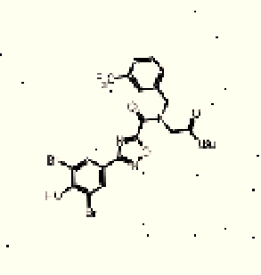 CC(C)(C)C(=O)CN(Cc1cccc(C(F)(F)F)c1)C(=O)c1nc(-c2cc(Br)c(O)c(Br)c2)no1